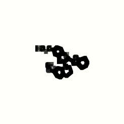 O=C(O)c1ccc2nc(-c3cc4ccccc4o3)c(N3CCCc4ccc(OC(F)(F)F)cc43)nc2c1